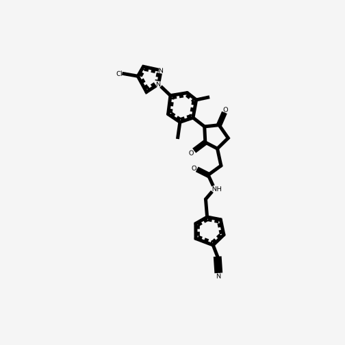 Cc1cc(-n2cc(Cl)cn2)cc(C)c1C1C(=O)CC(CC(=O)NCc2ccc(C#N)cc2)C1=O